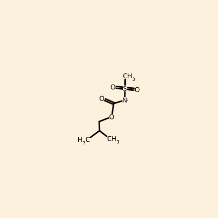 CC(C)COC(=O)[N]S(C)(=O)=O